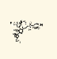 C#CCC(N=[N+]=[N-])C(=O)NCCOc1ccc(-c2cc(C(F)(F)F)n[nH]2)c(O)c1C(=C/N=C)/C=C(\C)C(F)(F)F